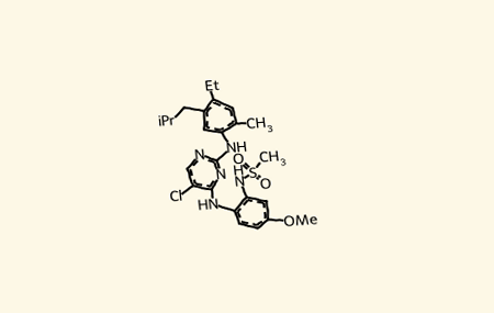 CCc1cc(C)c(Nc2ncc(Cl)c(Nc3ccc(OC)cc3NS(C)(=O)=O)n2)cc1CC(C)C